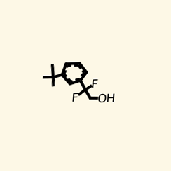 CC(C)(C)c1cccc(C(F)(F)CO)c1